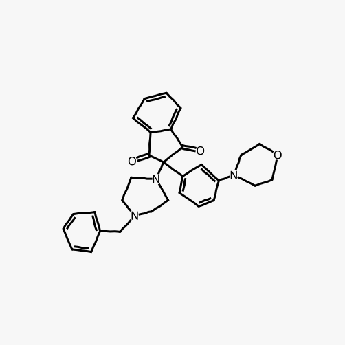 O=C1c2ccccc2C(=O)C1(c1cccc(N2CCOCC2)c1)N1CCN(Cc2ccccc2)CC1